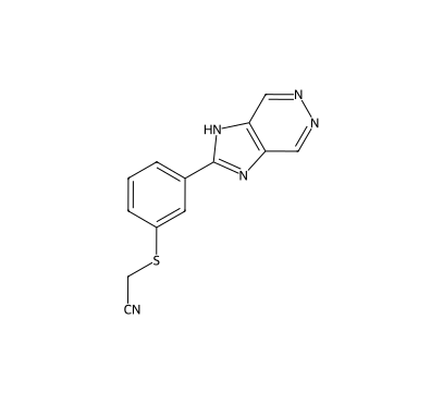 N#CCSc1cccc(-c2nc3cnncc3[nH]2)c1